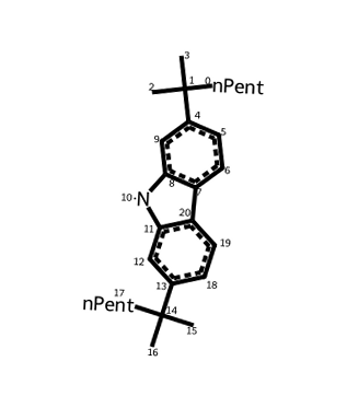 CCCCCC(C)(C)c1ccc2c(c1)[N]c1cc(C(C)(C)CCCCC)ccc1-2